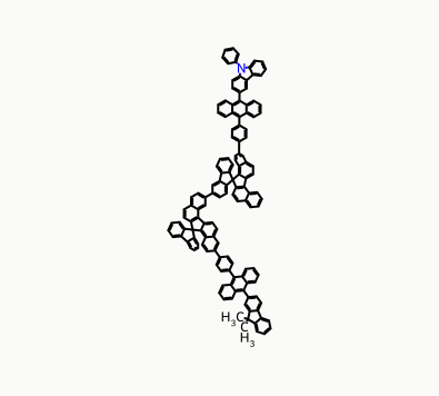 CC1(C)c2ccccc2-c2ccc(-c3c4ccccc4c(-c4ccc(-c5ccc6c7c(ccc6c5)-c5c(ccc6ccc(-c8ccc9c(c8)-c8ccccc8C98c9ccc%10ccccc%10c9-c9ccc%10cc(-c%11ccc(-c%12c%13ccccc%13c(-c%13ccc%14c(c%13)c%13ccccc%13n%14-c%13ccccc%13)c%13ccccc%12%13)cc%11)ccc%10c98)cc56)C75c6ccccc6-c6ccccc65)cc4)c4ccccc34)cc21